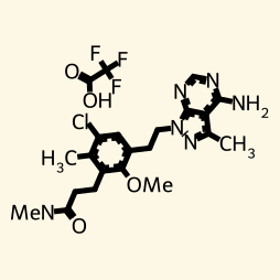 CNC(=O)CCc1c(C)c(Cl)cc(CCn2nc(C)c3c(N)ncnc32)c1OC.O=C(O)C(F)(F)F